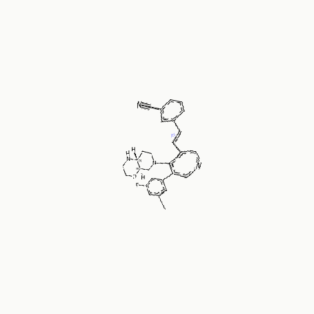 Cc1cc(F)cc(-c2cncc(/C=C/c3cccc(C#N)c3)c2N2CC[C@H]3NCCO[C@@H]3C2)c1